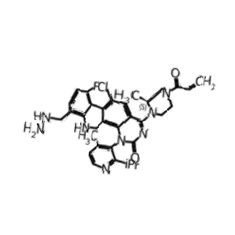 C=CC(=O)N1CCN(c2nc(=O)n(-c3c(C)ccnc3C(C)C)c3c4c(c(Cl)cc23)-c2c(F)ccc(CNN)c2NC4)[C@@H](C)C1